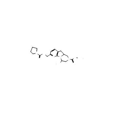 CC1CN(C(=O)OC(C)(C)C)CC2Cc3ccc(COC(=O)N4CCCC4)nc3N12